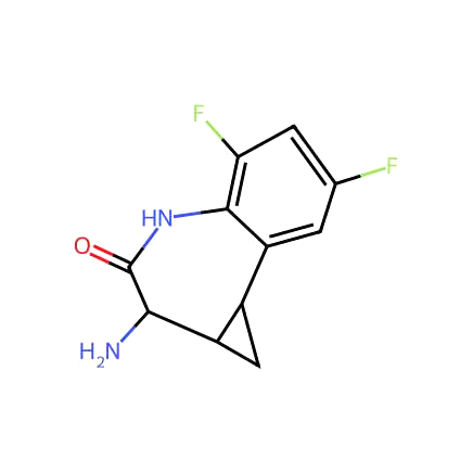 NC1C(=O)Nc2c(F)cc(F)cc2C2CC12